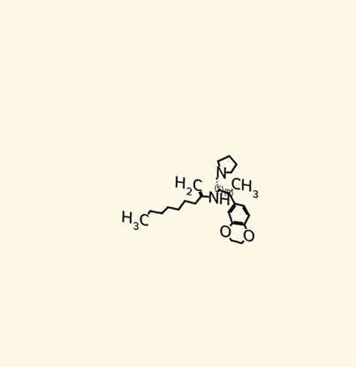 C=C(CCCCCCC)N[C@H](CN1CCCC1)[C@H](C)c1ccc2c(c1)OCCO2